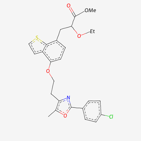 CCOC(Cc1ccc(OCCc2nc(-c3ccc(Cl)cc3)oc2C)c2ccsc12)C(=O)OC